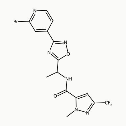 CC(NC(=O)c1cc(C(F)(F)F)nn1C)c1nc(-c2ccnc(Br)c2)no1